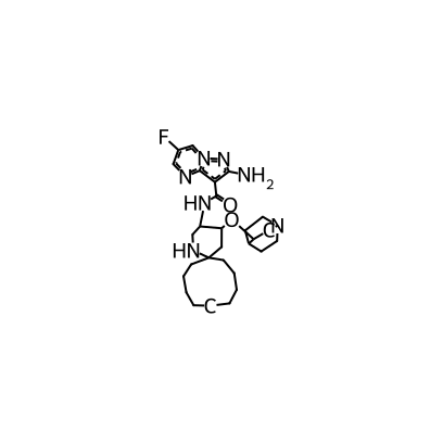 Nc1nn2cc(F)cnc2c1C(=O)NC1CNC2(CCCCCCCCC2)CC1OC1CN2CCC1CC2